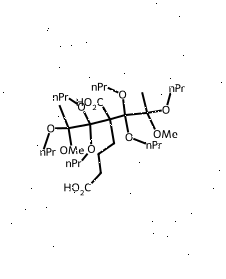 CCCOC(C)(OC)C(OCCC)(OCCC)C(CCCC(=O)O)(C(=O)O)C(OCCC)(OCCC)C(C)(OC)OCCC